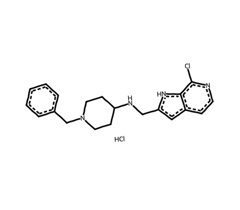 Cl.Clc1nccc2cc(CNC3CCN(Cc4ccccc4)CC3)[nH]c12